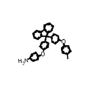 Cc1ccc(Oc2ccc(C3(c4ccc(Oc5ccc(N)cc5)cc4)c4ccccc4-c4ccccc43)cc2)cc1